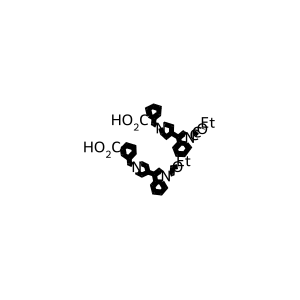 CCOCCn1cc(C2CCN(Cc3cccc(C(=O)O)c3)CC2)c2ccccc21.CCOCCn1cc(C2CCN(Cc3ccccc3C(=O)O)CC2)c2ccccc21